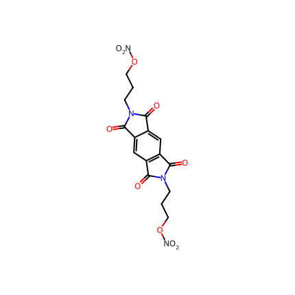 O=c1c2cc3c(=O)n(CCCO[N+](=O)[O-])c(=O)c3cc2c(=O)n1CCCO[N+](=O)[O-]